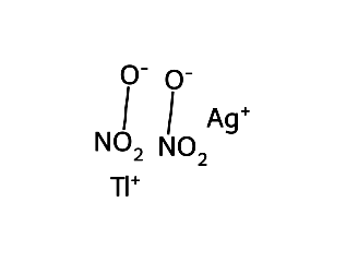 O=[N+]([O-])[O-].O=[N+]([O-])[O-].[Ag+].[Tl+]